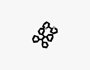 c1ccc(-c2ccccn2)nc1.c1ccc(C(=C(c2ccccc2)c2ccccc2)c2ccccc2)cc1